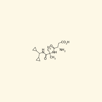 CC(C)(NC(=O)[C@@H](N)CC(=O)O)C(=O)NC(C1CC1)C1CC1